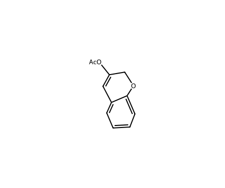 CC(=O)OC1=Cc2ccccc2OC1